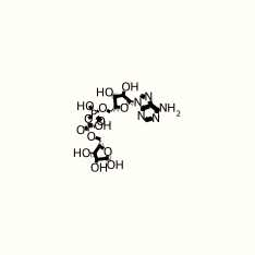 Nc1ncnc2c1ncn2[C@@H]1O[C@H](COP(=O)(O)OP(=O)(O)OC[C@@H]2O[C@H](O)C(O)[C@@H]2O)[C@H](O)C1O